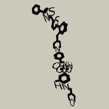 Cc1cc(S(=O)(=O)NC(=O)c2ccc(N3CCC(=Cc4ccccc4-c4ccc(-c5nc(-c6ccccc6)cs5)s4)CC3)cc2)ccc1NCC1CCOCC1